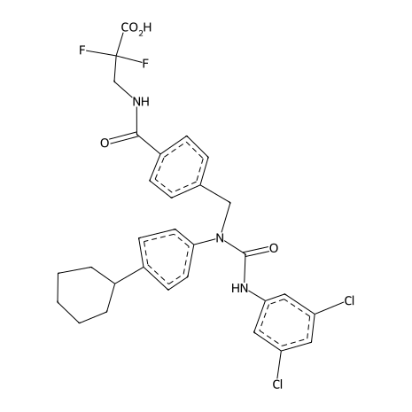 O=C(NCC(F)(F)C(=O)O)c1ccc(CN(C(=O)Nc2cc(Cl)cc(Cl)c2)c2ccc(C3CCCCC3)cc2)cc1